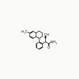 C#CC(C(N)=O)c1[c]cccc1N1CCCC2C=C(C)C=CC21